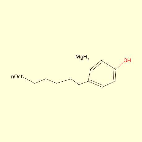 CCCCCCCCCCCCCc1ccc(O)cc1.[MgH2]